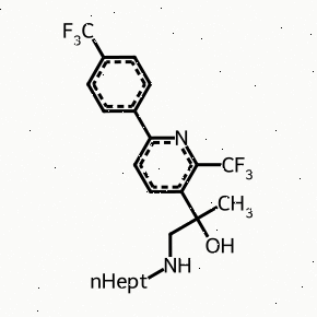 CCCCCCCNCC(C)(O)c1ccc(-c2ccc(C(F)(F)F)cc2)nc1C(F)(F)F